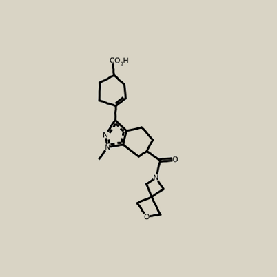 Cn1nc(C2=CCC(C(=O)O)CC2)c2c1CC(C(=O)N1CC3(COC3)C1)CC2